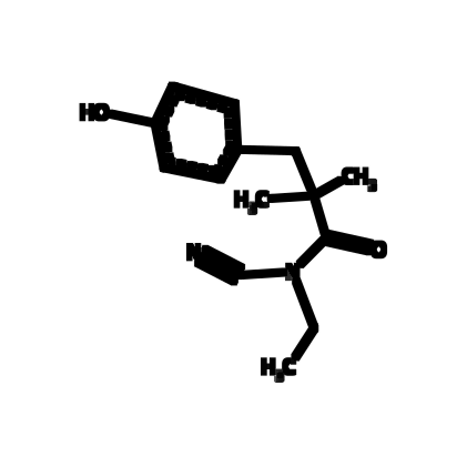 CCN(C#N)C(=O)C(C)(C)Cc1ccc(O)cc1